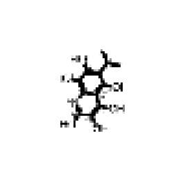 CC(C)c1c(O)c(O)c2nc(O)c(O)c(O)c2c1O